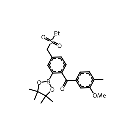 CCS(=O)(=O)Cc1ccc(C(=O)c2ccc(C)c(OC)c2)c(B2OC(C)(C)C(C)(C)O2)c1